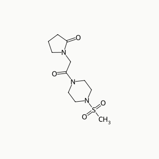 CS(=O)(=O)N1CCN(C(=O)CN2CCCC2=O)CC1